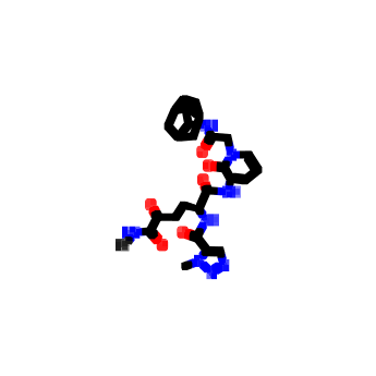 CCNC(=O)C(=O)CC[C@H](NC(=O)c1cnnn1C)C(=O)Nc1cccn(CC(=O)NC2C3CC4CC(C3)C2C4)c1=O